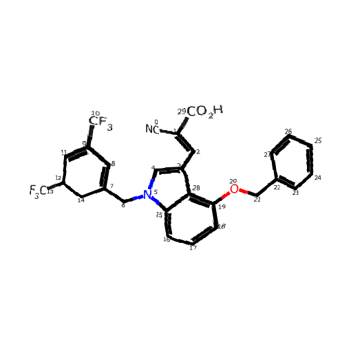 N#C/C(=C\c1cn(CC2=CC(C(F)(F)F)=CC(C(F)(F)F)C2)c2cccc(OCc3ccccc3)c12)C(=O)O